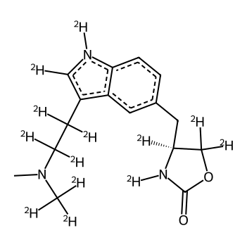 [2H]c1c(C([2H])([2H])C([2H])([2H])N(C)C([2H])([2H])[2H])c2cc(C[C@]3([2H])N([2H])C(=O)OC3([2H])[2H])ccc2n1[2H]